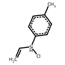 C=C[SiH](Cl)c1ccc(C)cc1